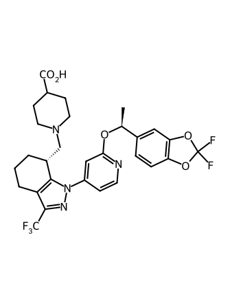 C[C@H](Oc1cc(-n2nc(C(F)(F)F)c3c2[C@@H](CN2CCC(C(=O)O)CC2)CCC3)ccn1)c1ccc2c(c1)OC(F)(F)O2